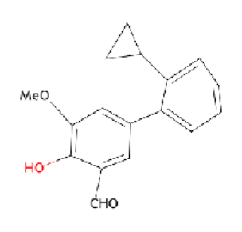 COc1cc(-c2ccccc2C2CC2)cc(C=O)c1O